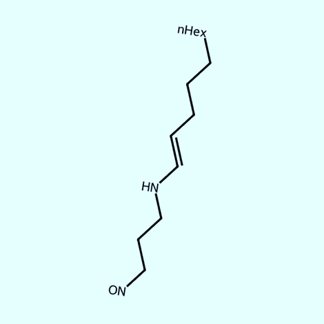 CCCCCCCCCC=CNCCCN=O